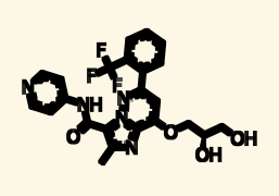 Cc1nc2c(OC[C@H](O)CO)cc(-c3ccccc3C(F)(F)F)nn2c1C(=O)Nc1ccncc1